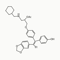 CCC(=C(c1ccc(O)cc1)c1ccc(OCC(CNCC2CCCCC2)OC(C)=O)cc1)c1ccc2c(c1)OCO2